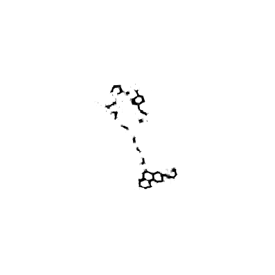 Cc1ncsc1-c1ccc(C(C)NC(=O)[C@@H]2CCCN2C(=O)C(NC(=O)COCCOCCOCCOCC(=O)S[C@@H]2CC3=CC(=O)CCC3(C)C3CCC(C)([C@@]4(C)CCC(=O)O4)CC32)C(C)(C)C)cc1